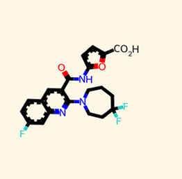 O=C(O)c1ccc(NC(=O)c2cc3ccc(F)cc3nc2N2CCCC(F)(F)CC2)o1